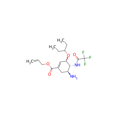 C=CCOC(=O)C1=C[C@@H](OC(CC)CC)[C@H](NC(=O)C(F)(F)F)[C@@H](N)C1